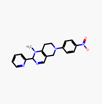 CN1C2=C(C=NC1c1ccccn1)CN(c1ccc([N+](=O)[O-])cc1)CC2